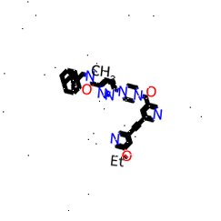 CCOc1cncc(C#Cc2cncc(C(=O)N3CCN(c4ccc(C(=O)N(C)CC56CC7CC(CC(C7)C5)C6)nn4)CC3)c2)c1